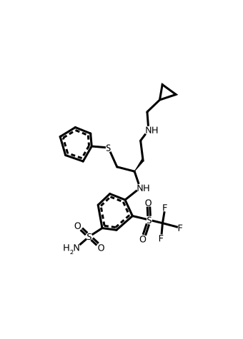 NS(=O)(=O)c1ccc(N[C@H](CCNCC2CC2)CSc2ccccc2)c(S(=O)(=O)C(F)(F)F)c1